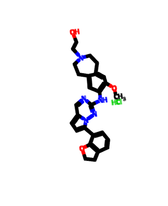 COc1cc2c(cc1Nc1ncc3ccc(-c4cccc5c4OCC5)n3n1)CCN(CCO)CC2.Cl